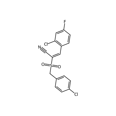 N#C/C(=C\c1ccc(F)cc1Cl)S(=O)(=O)Cc1ccc(Cl)cc1